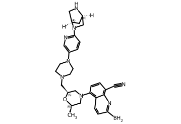 Bc1ccc2c(N3C[C@H](CN4CCN(c5ccc(N6C[C@H]7C[C@@H]6CN7)nc5)CC4)O[C@H](C)C3)ccc(C#N)c2n1